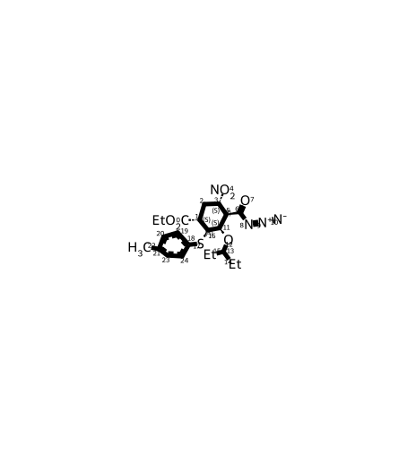 CCOC(=O)[C@@H]1C[C@H]([N+](=O)[O-])[C@@H](C(=O)N=[N+]=[N-])[C@H](OC(CC)CC)[C@@H]1Sc1ccc(C)cc1